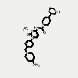 Cl.NC1CCN(Cc2ccc(-n3ccc(NC(=O)N4CCC(C5CNCCO5)CC4)nc3=O)cc2)CC1